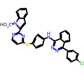 O=C(O)n1c(-c2nccc(Sc3ccc(Nc4nnc(-c5ccc(Cl)cc5)c5ccccc45)cc3)n2)cc2ccccc21